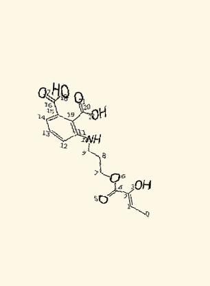 CC=C(O)C(=O)OCCCNc1cccc(C(=O)O)c1C(=O)O